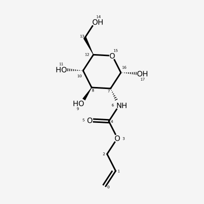 C=CCOC(=O)N[C@@H]1[C@@H](O)[C@H](O)[C@@H](CO)O[C@@H]1O